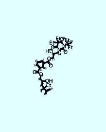 C=C(C)C(C)(CC)CC(O)COC(=O)c1cccc(C(=O)OCC(O)CN2C(=O)N(C(C)(CC)CC)C(=O)C(CC)(CC)C2=O)c1